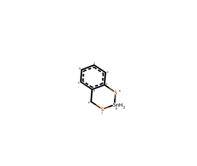 c1ccc2c(c1)C[S][SnH2][S]2